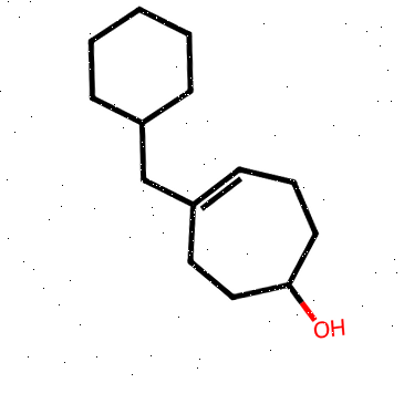 OC1CCC=C(CC2CCCCC2)CC1